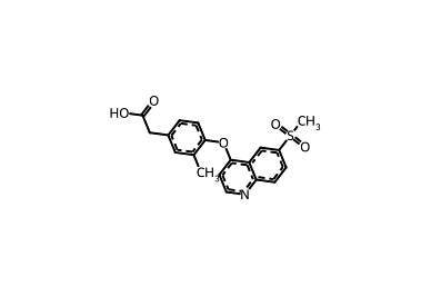 Cc1cc(CC(=O)O)ccc1Oc1ccnc2ccc(S(C)(=O)=O)cc12